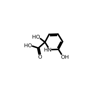 O=C(O)C1(O)C=CC=C(O)N1